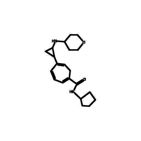 O=C(NC1CCCC1)C1=CC=CC(C2CC2NC2CCOCC2)=CC1